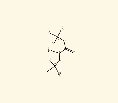 C=C(CC(C)(C)CC)C(Br)CC(C)(C)CC